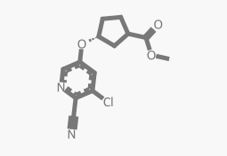 COC(=O)C1CC[C@@H](Oc2cnc(C#N)c(Cl)c2)C1